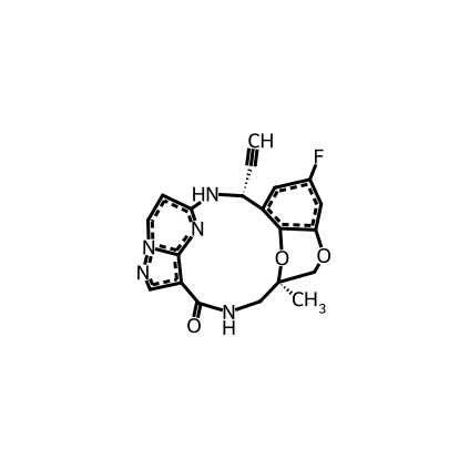 C#C[C@H]1Nc2ccn3ncc(c3n2)C(=O)NC[C@]2(C)COc3cc(F)cc1c3O2